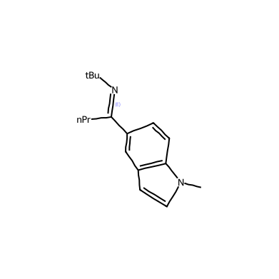 CCC/C(=N\C(C)(C)C)c1ccc2c(ccn2C)c1